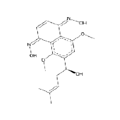 COc1cc([C@@H](O)CC=C(C)C)c(OC)c2c1/C(=N\O)C=C/C2=N/O